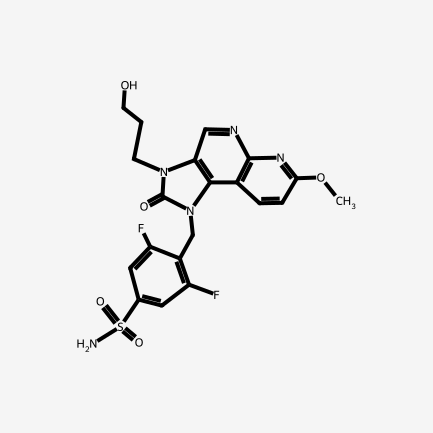 COc1ccc2c(ncc3c2n(Cc2c(F)cc(S(N)(=O)=O)cc2F)c(=O)n3CCCO)n1